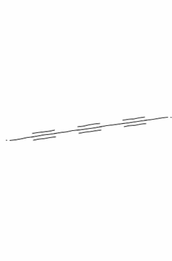 [CH2]C#CC#CC#C[CH2]